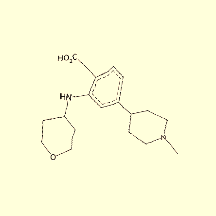 CN1CCC(c2ccc(C(=O)O)c(NC3CCOCC3)c2)CC1